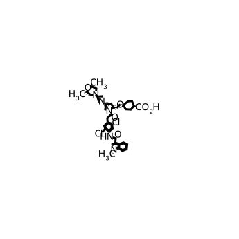 C[C@@H]1CN(C2CN([C@H]3C[C@@H](CO[C@H]4CC[C@H](C(=O)O)CC4)N(C(=O)Cc4cc(Cl)c(NC(=O)c5cn(C)c6ccccc56)cc4Cl)C3)C2)C[C@H](C)O1